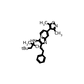 Cc1noc(C)c1-c1ccn2c(NC(C)(C)CC(C)(C)C)c(CCc3ccccc3)nc2c1